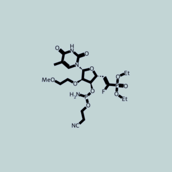 CCOP(=O)(OCC)/C(F)=C/[C@H]1O[C@@H](n2cc(C)c(=O)[nH]c2=O)[C@H](OCCOC)[C@@H]1OP(N)OCCC#N